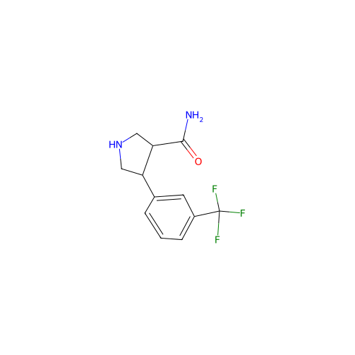 NC(=O)C1CNCC1c1cccc(C(F)(F)F)c1